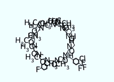 CC[C@H](C)[C@@H]1NC(=O)[C@H](CC(C)C)N(C)C(=O)C[C@@H](C)N(C)C(=O)[C@H](C(C)C)N(C)C(=O)C2(CCCC2)NC(=O)[C@@H]2CCCN2C(=O)[C@H](CCc2ccc(C(F)(F)F)c(Cl)c2)NC(=O)CN(C)C(=O)[C@H](Cc2ccc(F)cc2)N(C)C(=O)CN(C)C(=O)CN(C)C1=O